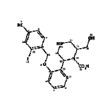 N#Cc1ccc(COc2cccnc2C2CNCC(CO)N2C(=O)O)c(F)c1